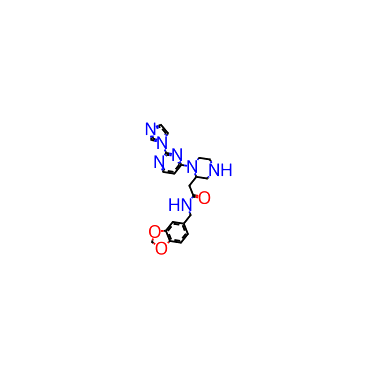 O=C(CC1CNCCN1c1ccnc(-n2ccnc2)n1)NCc1ccc2c(c1)OCO2